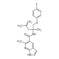 C=C(C)CC(C)(COc1ccc(F)cc1)NC(=O)c1cc2cc[nH]c2nc1C